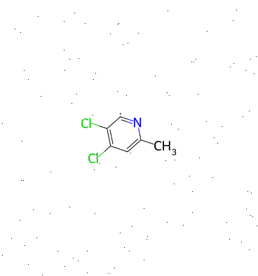 Cc1cc(Cl)c(Cl)[c]n1